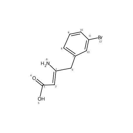 N/C(=C\C(=O)O)Cc1cccc(Br)c1